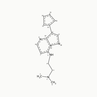 CN(C)CCNc1ccnc2c(-c3ccsc3)cnn12